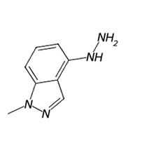 Cn1ncc2c(NN)cccc21